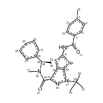 Cc1ccc(C(=O)Nc2nc3c(s2)c(C(=O)N(C)[C@H](C)c2ccccc2)nn3C(C)(C)C)cc1